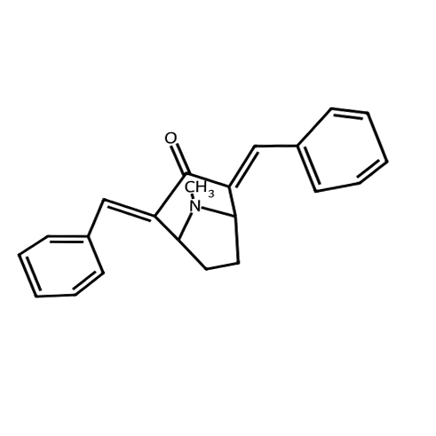 CN1C2CCC1/C(=C\c1ccccc1)C(=O)/C2=C/c1ccccc1